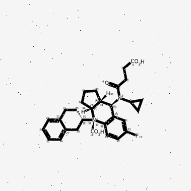 O=C(O)CCC(=O)N(C1CC1)[C@H]1c2cc(F)ccc2[N@+](C(=O)O)([C@H]2CCc3ccccc3C2)[C@@H]2CCC[C@@H]21